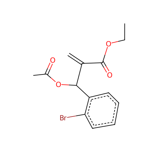 C=C(C(=O)OCC)C(OC(C)=O)c1ccccc1Br